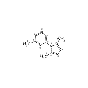 Cc1cncc(-n2c(C)ccc2C)n1